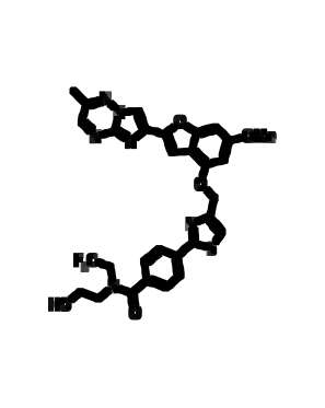 COc1cc(OCc2csc(-c3ccc(C(=O)N(CCO)CC(F)(F)F)cc3)n2)c2cc(-c3cn4nc(C)cnc4n3)oc2c1